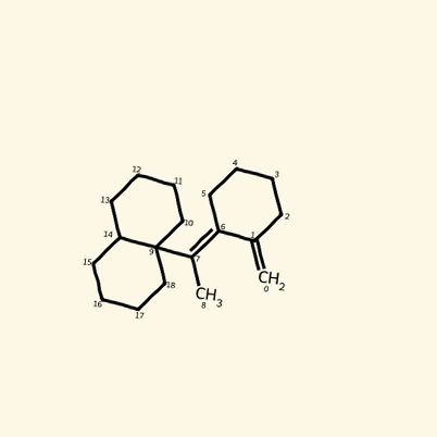 C=C1CCCCC1=C(C)C12CCCCC1CCCC2